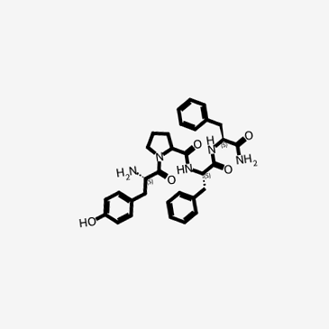 NC(=O)[C@H](Cc1ccccc1)NC(=O)[C@H](Cc1ccccc1)NC(=O)C1CCCN1C(=O)[C@@H](N)Cc1ccc(O)cc1